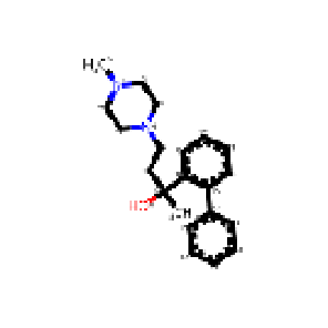 CN1CCN(CCC(C)(O)c2ccccc2-c2ccccc2)CC1